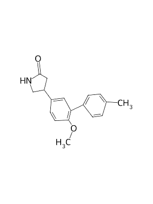 COc1ccc(C2CNC(=O)C2)cc1-c1ccc(C)cc1